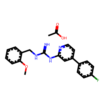 CC(=O)O.COc1ccccc1CNC(=N)Nc1cc(-c2ccc(F)cc2)ccn1